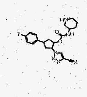 N#Cc1cn(C2CC(c3ccc(F)cc3)CC2OC(=O)NC2CCCNC2)nn1